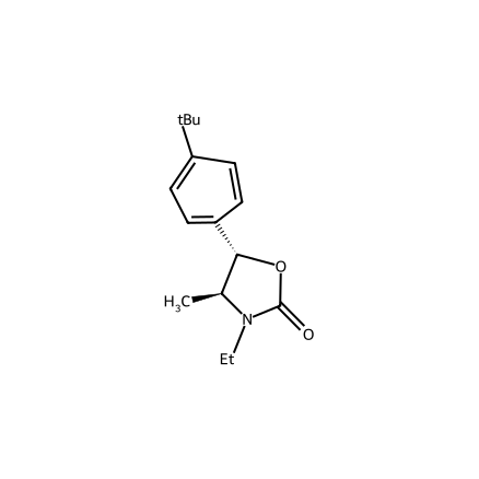 CCN1C(=O)O[C@@H](c2ccc(C(C)(C)C)cc2)[C@@H]1C